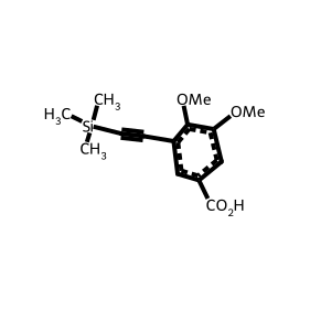 COc1cc(C(=O)O)cc(C#C[Si](C)(C)C)c1OC